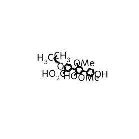 COc1cc(-c2ccc(O)cc2)c(OC)c(O)c1-c1ccc(OCC=C(C)C)c(C(=O)O)c1